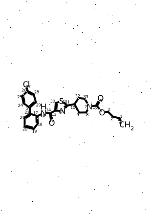 C=CCCOC(=O)N1CCC(c2nc(C(=O)Nc3ccccc3-c3ccc(Cl)cc3)cs2)CC1